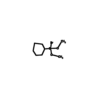 CO[Si](Br)(OC)C1CCCCC1